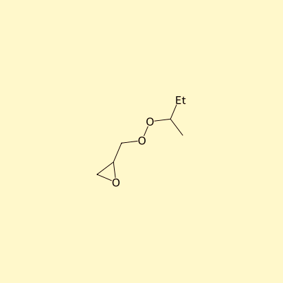 CCC(C)OOCC1CO1